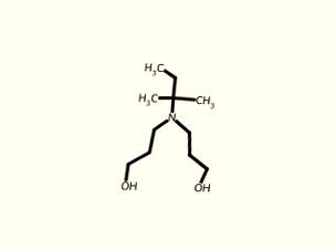 CCC(C)(C)N(CCCO)CCCO